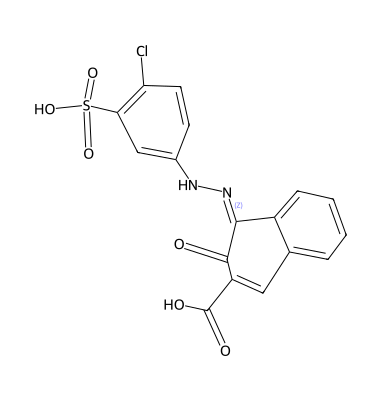 O=C(O)C1=Cc2ccccc2/C(=N/Nc2ccc(Cl)c(S(=O)(=O)O)c2)C1=O